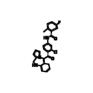 Cc1ccc(F)cc1C(=O)Nc1ccc(C(=O)C2=C3CC=CC=C3NCc3cccn32)c(Cl)c1